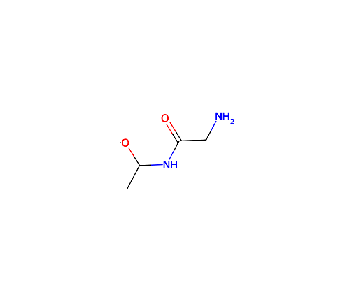 CC([O])NC(=O)CN